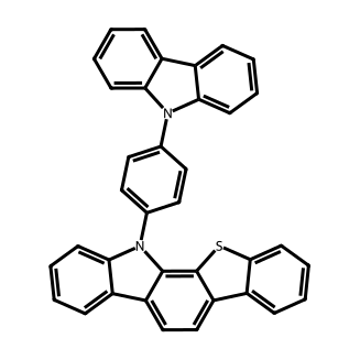 c1ccc2c(c1)sc1c2ccc2c3ccccc3n(-c3ccc(-n4c5ccccc5c5ccccc54)cc3)c21